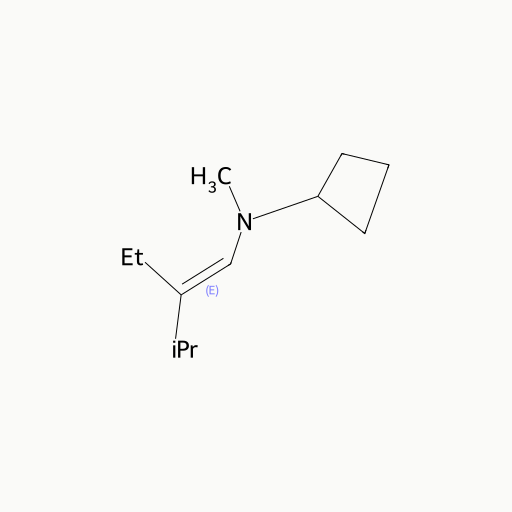 CC/C(=C\N(C)C1CCC1)C(C)C